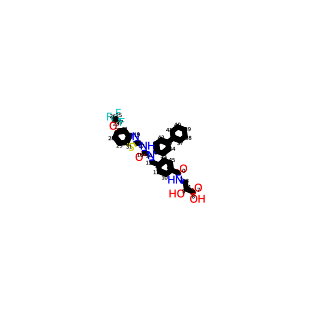 O=C(NC[C@@H](O)C(=O)O)c1ccc(CN(C(=O)Nc2nc3cc(OC(F)(F)F)ccc3s2)c2ccc(C3=CCCCC3)cc2)cc1